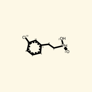 O=[PH](O)CCc1cccc(Cl)c1